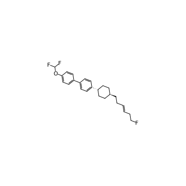 FCC/C=C/CC[C@H]1CC[C@H](c2ccc(-c3ccc(OC(F)F)cc3)cc2)CC1